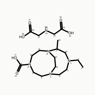 CCN1CCN2CCN(C(=O)O)CCN(CC2)C(C)C1.O=C(O)CNCC(=O)O